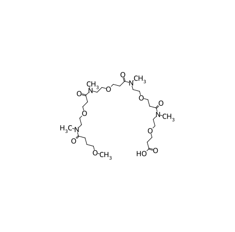 COCCCC(=O)N(C)CCOCCC(=O)N(C)CCOCCC(=O)N(C)CCOCCC(=O)N(C)CCOCCC(=O)O